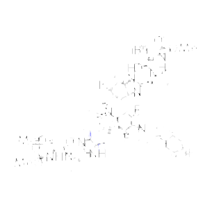 C#C/C=c1/[nH]c([C@@H]2CCCN2C(=O)[C@@H](NC(=O)OC)[C@@H](C)OC)n/c1=C/C[C@H]1CC[C@H](c2cc3nc([C@@H]4CCCN4C(=O)[C@@H](NC(=O)OC)[C@@H](C)CC)[nH]c3cc2F)N1c1cc(F)c(N2CCC(c3ccc(F)cc3)CC2)c(F)c1